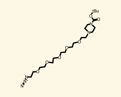 CC(C)(C)OC(=O)N1CCN(CCOCCOCCOCCOCCOCCN=[N+]=[N-])CC1